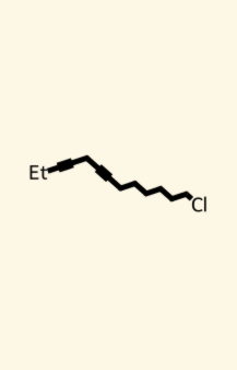 CCC#CCC#CCCCCCCCl